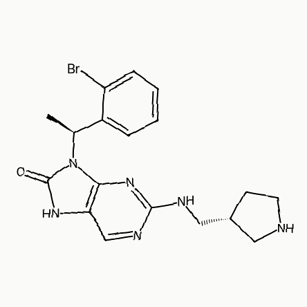 C[C@@H](c1ccccc1Br)n1c(=O)[nH]c2cnc(NC[C@@H]3CCNC3)nc21